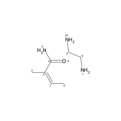 CC=C(C)C(N)=O.NCCN